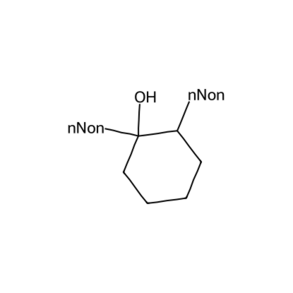 CCCCCCCCCC1CCCCC1(O)CCCCCCCCC